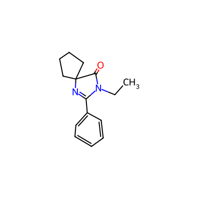 CCN1C(=O)C2(CCCC2)N=C1c1ccccc1